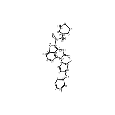 Cc1cc(Oc2cccnc2)ccc1N1C(=O)Nc2c(C(=O)N[C@@H]3CCCNC3)sc3nccc1c23